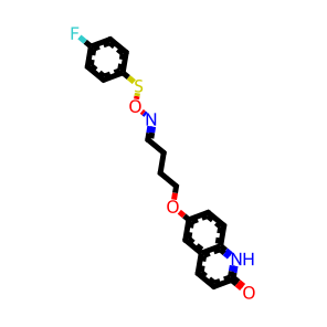 O=c1ccc2cc(OCCCC=NOSc3ccc(F)cc3)ccc2[nH]1